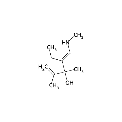 C=C(C)C(C)(O)/C(=C/NC)CC